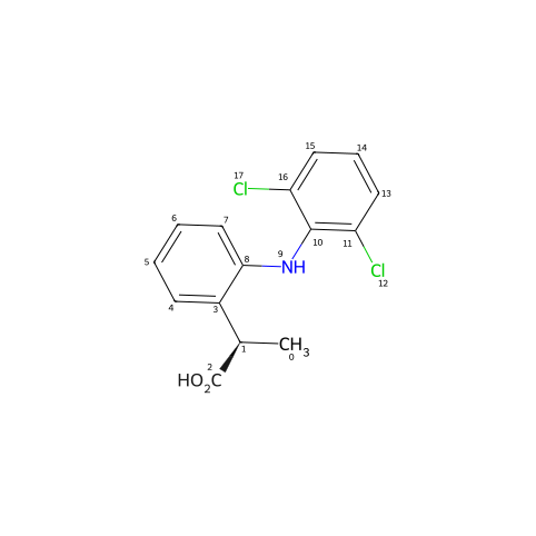 C[C@@H](C(=O)O)c1ccccc1Nc1c(Cl)cccc1Cl